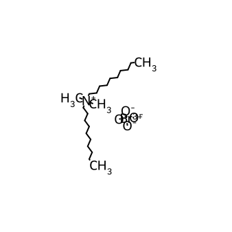 CCCCCCCCCC[N+](C)(C)CCCCCCCCCC.[O-][Br+3]([O-])([O-])[O-]